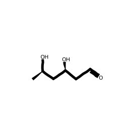 C[C@@H](O)C[C@@H](O)CC=O